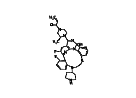 C=CC(=O)N1CCN(c2nc(=O)n3c4nc(c(F)cc24)-c2c(F)cccc2N(C2CCNCC2)CCSc2ccnc(C(C)C)c2-3)[C@@H](C)C1